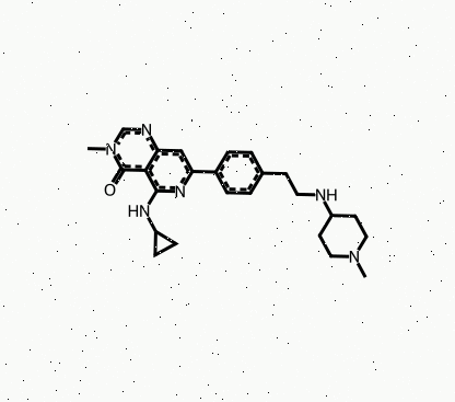 CN1CCC(NCCc2ccc(-c3cc4ncn(C)c(=O)c4c(NC4CC4)n3)cc2)CC1